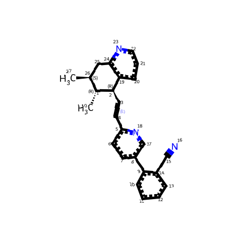 C[C@H]1[C@H](/C=C/c2ccc(-c3ccccc3C#N)cn2)c2cccnc2C[C@@H]1C